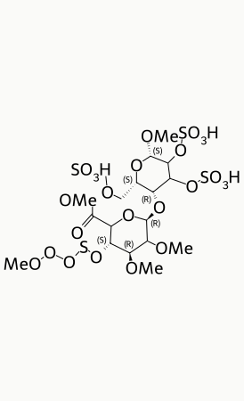 COOOSO[C@@H]1C(C(=O)OC)O[C@@H](O[C@H]2C(OS(=O)(=O)O)C(OS(=O)(=O)O)[C@@H](OC)O[C@H]2COS(=O)(=O)O)C(OC)[C@H]1OC